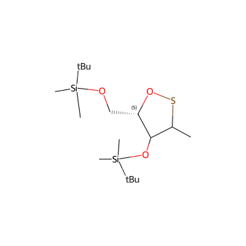 CC1SO[C@@H](CO[Si](C)(C)C(C)(C)C)C1O[Si](C)(C)C(C)(C)C